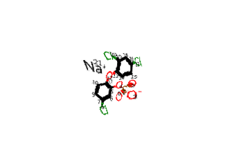 O=S(=O)([O-])Oc1cc(Cl)ccc1Oc1ccc(Cl)cc1Cl.[Na+]